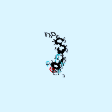 CCC[C@H]1CC[C@H]([C@H]2CC[C@H](CC(F)(F)c3cc(F)c(OC(F)(F)F)c(F)c3)CC2)CC1